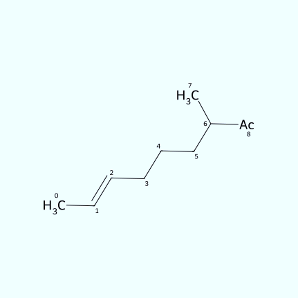 CC=CCCCC(C)C(C)=O